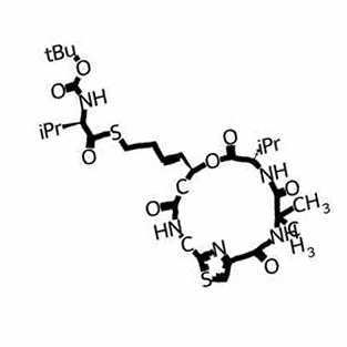 CC(C)[C@@H]1NC(=O)C(C)(C)NC(=O)c2csc(n2)CNC(=O)C[C@@H](/C=C/CCSC(=O)[C@H](NC(=O)OC(C)(C)C)C(C)C)OC1=O